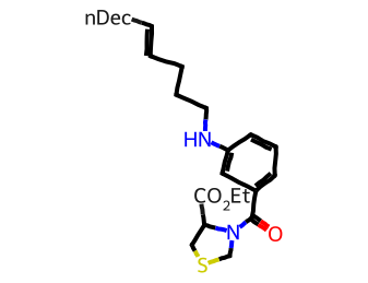 CCCCCCCCCCC=CCCCNc1cccc(C(=O)N2CSCC2C(=O)OCC)c1